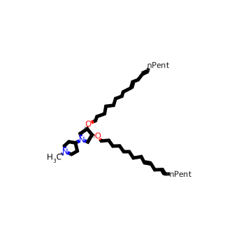 CCCCCC=CCC=CCCCCCCCCO[C@@H]1CN(C2CCN(C)CC2)C[C@H]1OCCCCCCCCC=CCC=CCCCCC